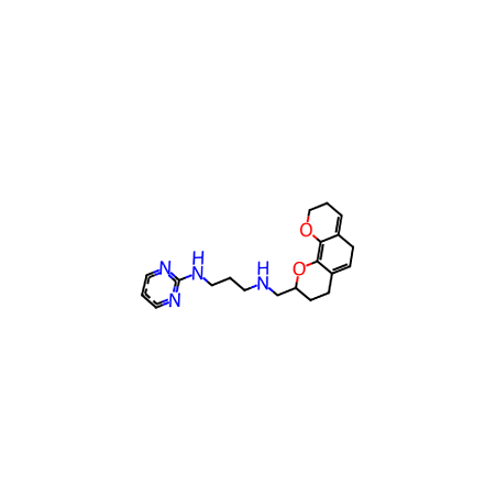 C1=C2CC=C3CCC(CNCCCNc4ncccn4)OC3=C2OCC1